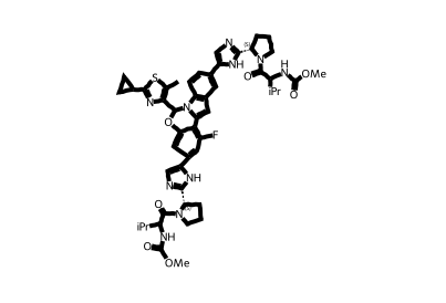 COC(=O)NC(C(=O)N1CCC[C@H]1c1ncc(-c2cc(F)c3c(c2)OC(c2nc(C4CC4)sc2C)n2c-3cc3cc(-c4cnc([C@@H]5CCCN5C(=O)C(NC(=O)OC)C(C)C)[nH]4)ccc32)[nH]1)C(C)C